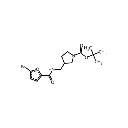 CC(C)(C)OC(=O)N1CCC(CNC(=O)c2ccc(Br)o2)C1